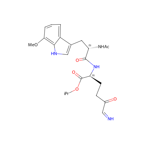 COc1cccc2c(C[C@H](NC(C)=O)C(=O)N[C@@H](CCC(=O)C=N)C(=O)OC(C)C)c[nH]c12